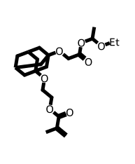 C=C(C)C(=O)OCCOC12CC3CC(C1)CC(OCC(=O)OC(C)OCC)(C3)C2